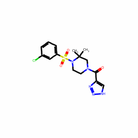 CC1(C)CN(C(=O)c2c[nH]nn2)CCN1S(=O)(=O)c1cccc(Cl)c1